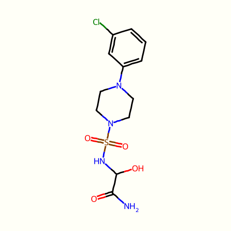 NC(=O)C(O)NS(=O)(=O)N1CCN(c2cccc(Cl)c2)CC1